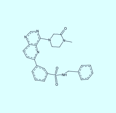 CN1CCN(c2ncnc3ccc(-c4cccc(S(=O)(=O)NCc5ccccc5)c4)nc23)CC1=O